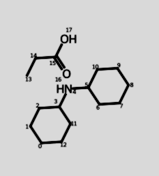 C1CCC(NC2CCCCC2)CC1.CCC(=O)O